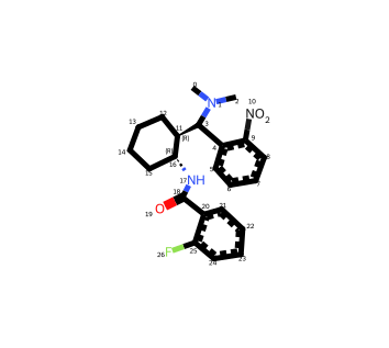 CN(C)C(c1ccccc1[N+](=O)[O-])[C@@H]1CCCC[C@H]1NC(=O)c1ccccc1F